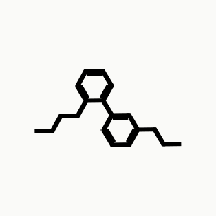 CCCCc1ccccc1-c1[c]ccc(CCC)c1